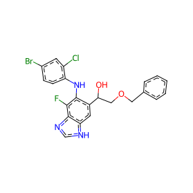 OC(COCc1ccccc1)c1cc2[nH]cnc2c(F)c1Nc1ccc(Br)cc1Cl